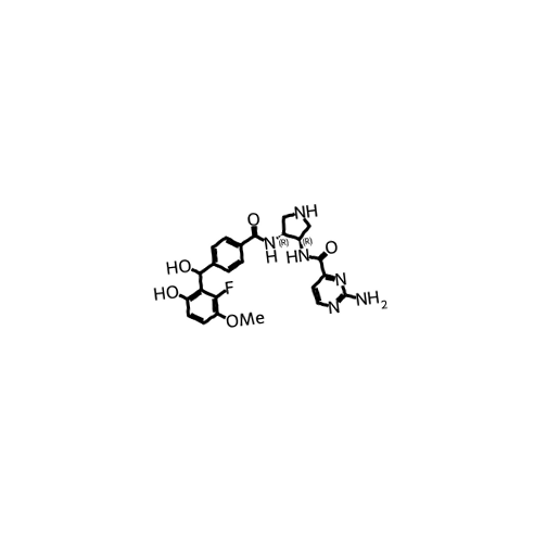 COc1ccc(O)c(C(O)c2ccc(C(=O)N[C@@H]3CNC[C@H]3NC(=O)c3ccnc(N)n3)cc2)c1F